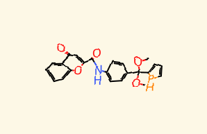 COC(OC)(c1ccc(NC(=O)c2cc(=O)c3ccccc3o2)cc1)c1ccc[pH]1